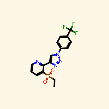 CCS(=O)(=O)c1cccnc1-c1cn(-c2ccc(C(F)(F)F)cc2)nn1